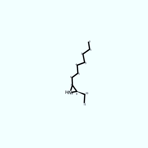 CCCCCCCC1N[C@@H]1CC